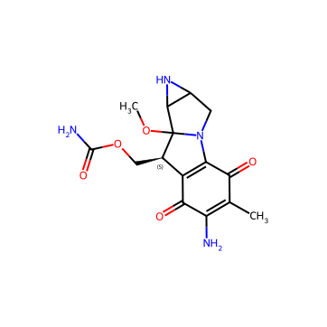 COC12C3NC3CN1C1=C(C(=O)C(N)=C(C)C1=O)[C@H]2COC(N)=O